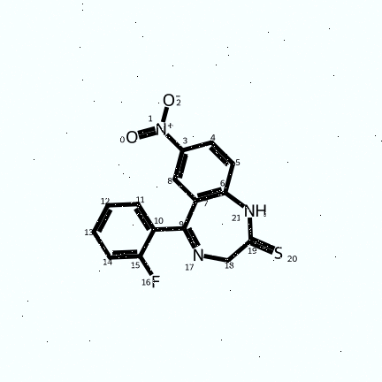 O=[N+]([O-])c1ccc2c(c1)C(c1ccccc1F)=NCC(=S)N2